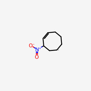 O=[N+]([O-])C1C=CCCC[CH]C1